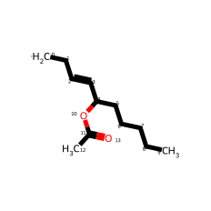 [CH2]CC=CC(CCCCC)OC(C)=O